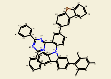 Cc1cc(C)c(-c2ccc3c4ccccc4n(-c4ccc(-c5ccc6sc7ccccc7c6c5)cc4-c4nc(-c5ccccc5)nc(-c5ccccc5)n4)c3c2)c(C)c1